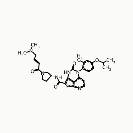 Cc1cc(OC(C)C)ccc1N1C(=O)Nc2c(C(=O)N[C@@H]3CCN(C(=O)/C=C/CN(C)C)C3)sc3nccc1c23